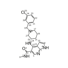 CNC(=O)c1cnc2[nH]ccc2c1N[C@H]1CCCN(Cc2cccc(Cl)c2)C1